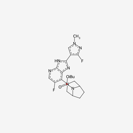 CC(C)COC(=O)N1C2CCC1CN(c1c(F)cnc3[nH]c(-c4cn(C)nc4F)nc13)C2